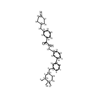 C[C@H]1CN(Cc2cccc(-c3cccc(CNC(=O)c4cccc(CC5CCNCC5)c4)c3)c2)CC[N+]1(C)C